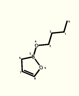 CCCCOB1CC=CO1